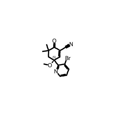 CO[C@]1(c2ncccc2Br)C=C(C#N)C(=O)C(C)(C)C1